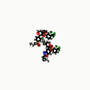 CCc1nc2cc(C3(S(=O)(=O)c4cccc(C(F)(F)F)c4)CC(C)CCO3)ccc2o1.C[S+]([O-])c1ccc(C2CC(C)(S(=O)(=O)c3cccc(C(F)(F)F)c3)CCO2)c(F)c1